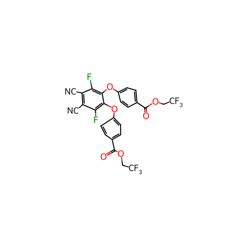 N#Cc1c(F)c(Oc2ccc(C(=O)OCC(F)(F)F)cc2)c(Oc2ccc(C(=O)OCC(F)(F)F)cc2)c(F)c1C#N